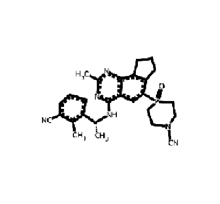 Cc1nc(N[C@H](C)c2cccc(C#N)c2C)c2cc(P3(=O)CCN(C#N)CC3)c3c(c2n1)CCC3